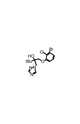 CC(C)(C)C(O)(COc1cccc(Br)c1Cl)Cn1cncn1